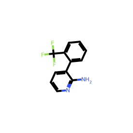 Nc1ncccc1-c1ccccc1C(F)(F)F